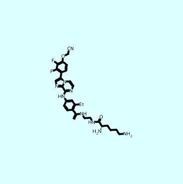 C=C(NCCNC(=O)[C@@H](N)CCCCN)c1ccc(Nc2nccn3c(-c4ccc(OCC#N)c(F)c4F)cnc23)cc1CC